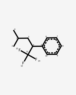 CC(C)CC(c1ccccc1)C(F)(F)F